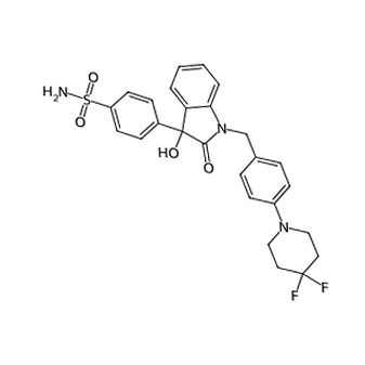 NS(=O)(=O)c1ccc(C2(O)C(=O)N(Cc3ccc(N4CCC(F)(F)CC4)cc3)c3ccccc32)cc1